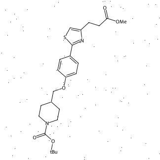 COC(=O)CCc1csc(-c2ccc(OCC3CCN(C(=O)OC(C)(C)C)CC3)cc2)n1